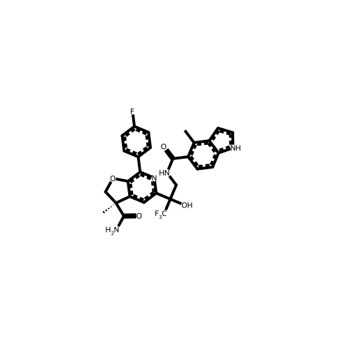 Cc1c(C(=O)NCC(O)(c2cc3c(c(-c4ccc(F)cc4)n2)OC[C@]3(C)C(N)=O)C(F)(F)F)ccc2[nH]ccc12